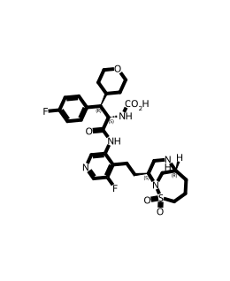 O=C(O)N[C@H](C(=O)Nc1cncc(F)c1CC[C@H]1CN[C@@H]2CCCS(=O)(=O)N1C2)[C@@H](c1ccc(F)cc1)C1CCOCC1